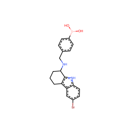 OB(O)c1ccc(CNC2CCCc3c2[nH]c2ccc(Br)cc32)cc1